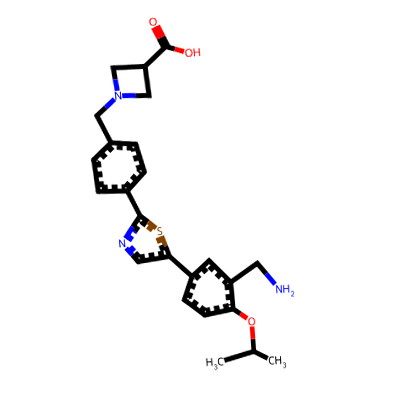 CC(C)Oc1ccc(-c2cnc(-c3ccc(CN4CC(C(=O)O)C4)cc3)s2)cc1CN